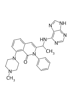 CC(Nc1ncnc2[nH]cnc12)c1cc2cccc(N3CCN(C)CC3)c2c(=O)n1-c1ccccc1